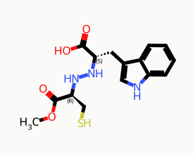 COC(=O)[C@H](CS)NN[C@@H](Cc1c[nH]c2ccccc12)C(=O)O